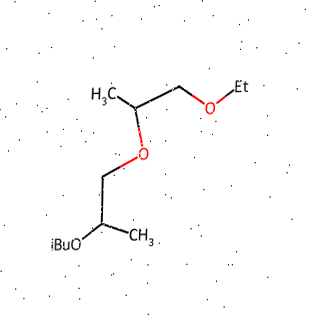 CCOCC(C)OCC(C)OCC(C)C